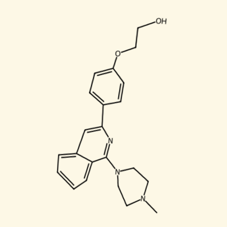 CN1CCN(c2nc(-c3ccc(OCCO)cc3)cc3ccccc23)CC1